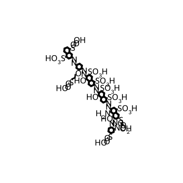 Nc1c(N=Nc2ccc3c(O)c(N=Nc4ccc5c(O)c(N=Nc6ccc(N=Nc7cc(S(=O)(=O)O)c8cccc(SOOO)c8c7)cc6OCCCSOOO)c(S(=O)(=O)O)cc5c4S(=O)(=O)O)c(S(=O)(=O)O)cc3c2S(=O)(=O)O)cc(S(=O)(=O)O)c2cc(SOOO)c(N=Nc3ccc(SOOO)cc3[N+](=O)[O-])c(O)c12